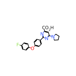 O=C(O)c1cc(N2CCCC2)nc(-c2ccc(Oc3ccc(F)cc3)cc2)n1